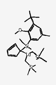 COc1c(C(C)(C)C)cc(C)cc1[Si](C)(C)[C]1([Lu]([CH2][Si](C)(C)C)[CH2][Si](C)(C)C)C=CC=C1